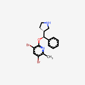 Cc1nc(O[C@H](c2ccccc2)[C@@H]2CCNC2)c(Br)cc1Br